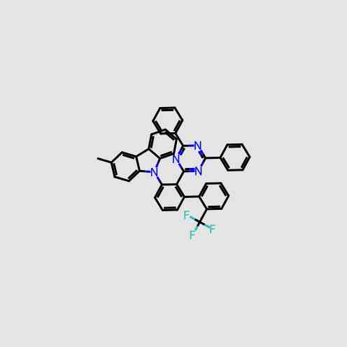 Cc1ccc2c(c1)c1ccccc1n2-c1cccc(-c2ccccc2C(F)(F)F)c1-c1nc(-c2ccccc2)nc(-c2ccccc2)n1